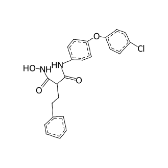 O=C(NO)C(CCc1ccccc1)C(=O)Nc1ccc(Oc2ccc(Cl)cc2)cc1